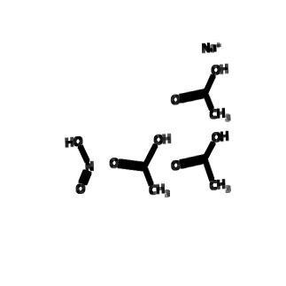 CC(=O)O.CC(=O)O.CC(=O)O.O=NO.[Na+]